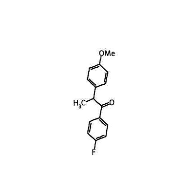 COc1ccc(C(C)C(=O)c2ccc(F)cc2)cc1